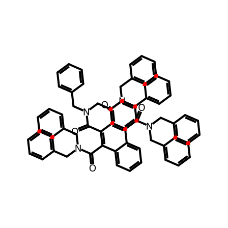 O=C(c1c(C(=O)N(Cc2ccccc2)Cc2ccccc2)c(C(=O)N(Cc2ccccc2)Cc2ccccc2)c2ccccc2c1C(=O)N(Cc1ccccc1)Cc1ccccc1)N(Cc1ccccc1)Cc1ccccc1